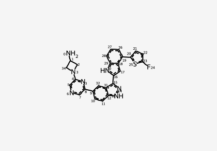 NC1CN(c2cncc(-c3ccc4[nH]nc(-c5cc6c(-c7ccc(F)s7)cccc6[nH]5)c4c3)n2)C1